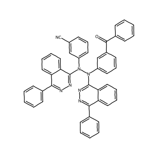 N#Cc1cccc(N(c2nnc(-c3ccccc3)c3ccccc23)N(c2cccc(C(=O)c3ccccc3)c2)c2nnc(-c3ccccc3)c3ccccc23)c1